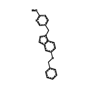 COc1ccc(Cn2ccc3cc(OCc4ccccc4)ccc32)cn1